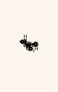 O=C(O)CN(C(=O)C(=O)c1c[nH]c2ccccc12)C(C(=O)NCc1ccccc1)C1CCCCC1